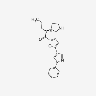 CCCN(C(=O)c1ccc(-c2cnn(-c3ccccc3)c2)o1)[C@H]1CCNC1